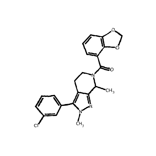 CC1c2nn(C)c(-c3cccc(Cl)c3)c2CCN1C(=O)c1cccc2c1OCO2